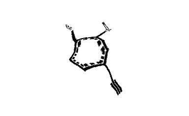 C#Cc1ccc(Br)c(Br)c1